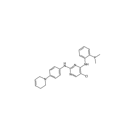 CP(C)c1ccccc1Nc1nc(Nc2ccc(N3CC=CCC3)cc2)ncc1Cl